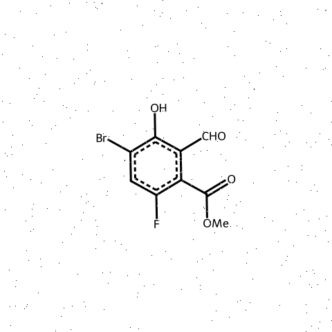 COC(=O)c1c(F)cc(Br)c(O)c1C=O